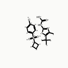 Cc1nc(NC(=O)O)sc1C(C)(C)C.O=S(=O)(c1ccc(Cl)cc1)C1CCC1